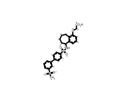 CS(=O)(=O)c1cccc(-c2ccc(S(=O)(=O)NC3CCCCc4c(OCC(=O)O)cccc43)cc2)c1